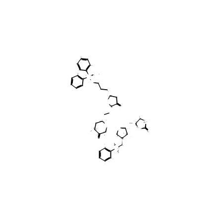 C=C1C[C@H](CCCO[Si](c2ccccc2)(c2ccccc2)C(C)(C)C)O[C@H]1CC[C@H]1C[C@@H](C)C(=C)[C@@H](C[C@@H]2O[C@H](C[C@H]3CNC(=O)O3)[C@H](C)[C@H]2CS(=O)(=O)c2ccccc2)O1